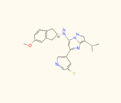 COc1ccc2c(c1)C[C@@H](Nc1cc(-c3cncc(F)c3)nc3c(C(C)C)cnn13)C2